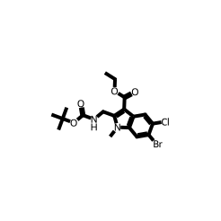 CCOC(=O)c1c(CNC(=O)OC(C)(C)C)n(C)c2cc(Br)c(Cl)cc12